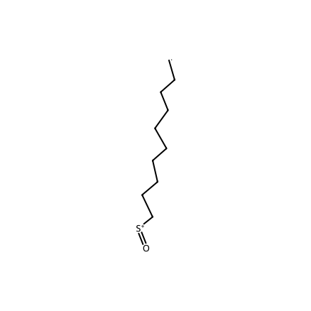 [CH2]CCCCCCCCC[S+]=O